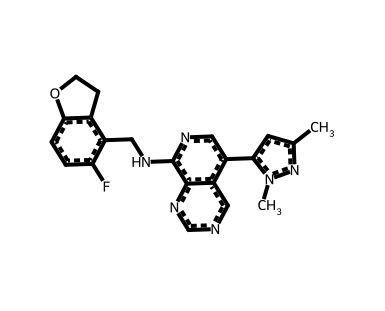 Cc1cc(-c2cnc(NCc3c(F)ccc4c3CCO4)c3ncncc23)n(C)n1